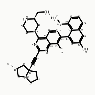 CC[C@H]1CN(c2nc(C#C[C@@]34CCCN3C[C@H](F)C4)nc3c(F)c(-c4cc(O)cc5cccc(SC)c45)ncc23)CCN1